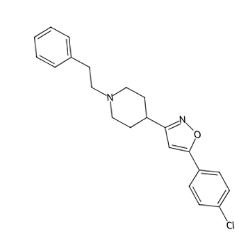 Clc1ccc(-c2cc(C3CCN(CCc4ccccc4)CC3)no2)cc1